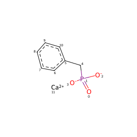 O=P([O-])([O-])Cc1ccccc1.[Ca+2]